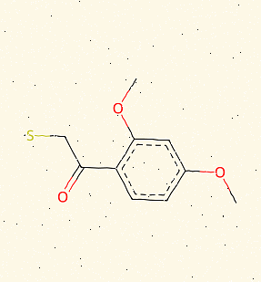 COc1ccc(C(=O)C[S])c(OC)c1